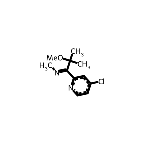 CN=C(c1cc(Cl)ccn1)C(C)(C)OC